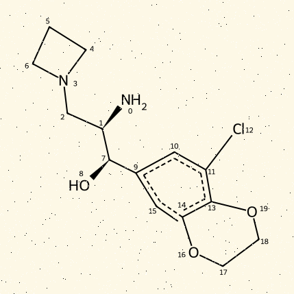 N[C@H](CN1CCC1)[C@H](O)c1cc(Cl)c2c(c1)OCCO2